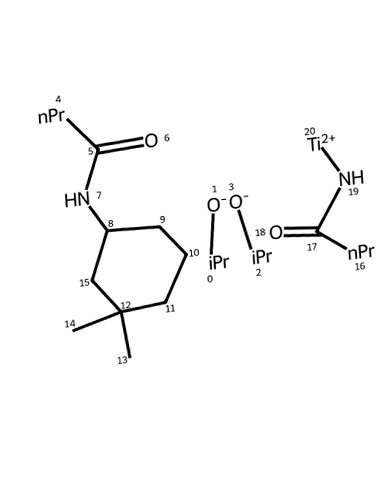 CC(C)[O-].CC(C)[O-].CCCC(=O)NC1CCCC(C)(C)C1.CCCC(=O)[NH][Ti+2]